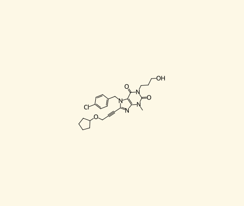 Cn1c(=O)n(CCCO)c(=O)c2c1nc(C#CCOC1CCCC1)n2Cc1ccc(Cl)cc1